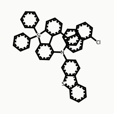 Clc1cccc2c(-c3cccc4c3-c3c(N(c5ccccc5)c5ccc6c(c5)sc5ccccc56)cccc3[Si]4(c3ccccc3)c3ccccc3)cccc12